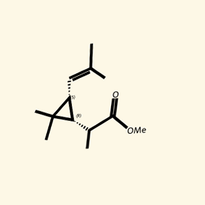 COC(=O)C(C)[C@H]1[C@@H](C=C(C)C)C1(C)C